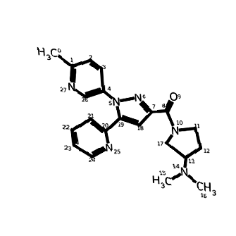 Cc1ccc(-n2nc(C(=O)N3CCC(N(C)C)C3)cc2-c2ccccn2)cn1